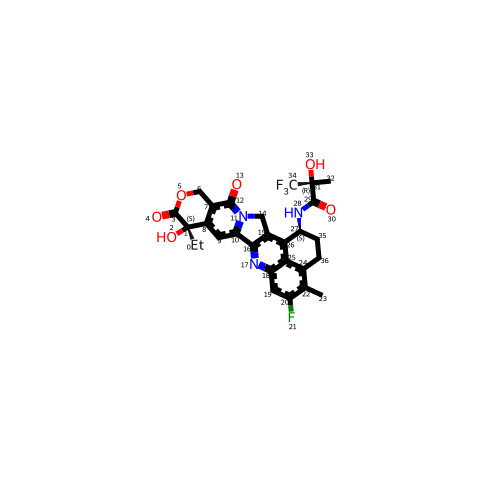 CC[C@@]1(O)C(=O)OCc2c1cc1n(c2=O)Cc2c-1nc1cc(F)c(C)c3c1c2[C@@H](NC(=O)[C@@](C)(O)C(F)(F)F)CC3